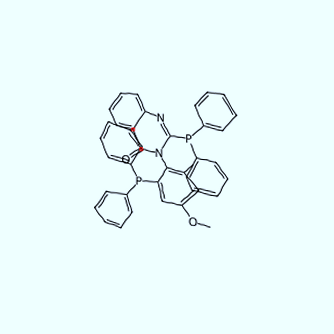 COc1cc(C)c(-n2c(P(c3ccccc3)c3ccccc3)nc3ccccc3c2=O)c(P(c2ccccc2)c2ccccc2)c1